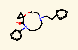 O=C1N(c2ccccc2)CCCCN(CCc2ccccc2)CCOC12CC2